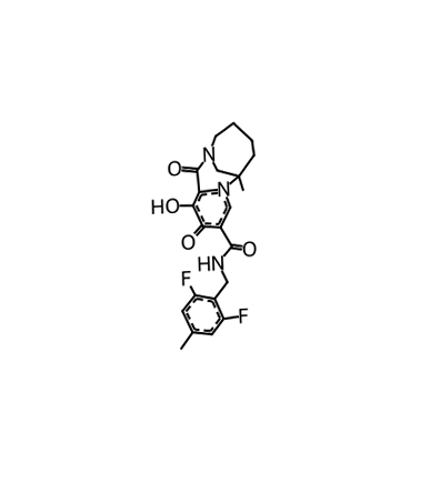 Cc1cc(F)c(CNC(=O)c2cn3c(c(O)c2=O)C(=O)N2CCCCC3(C)C2)c(F)c1